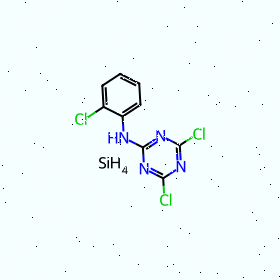 Clc1nc(Cl)nc(Nc2ccccc2Cl)n1.[SiH4]